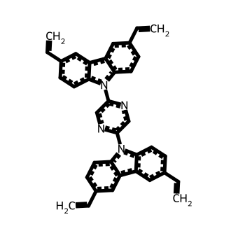 C=Cc1ccc2c(c1)c1cc(C=C)ccc1n2-c1cnc(-n2c3ccc(C=C)cc3c3cc(C=C)ccc32)cn1